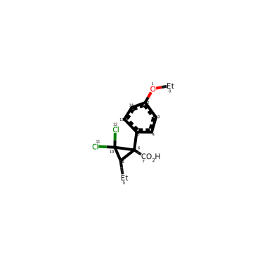 CCOc1ccc(C2(C(=O)O)C(CC)C2(Cl)Cl)cc1